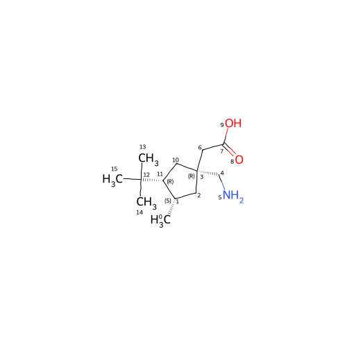 C[C@H]1C[C@](CN)(CC(=O)O)C[C@H]1C(C)(C)C